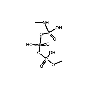 CNP(=O)(O)OP(=O)(O)OP(=O)(O)OC